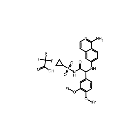 CCOc1cc(C(Nc2ccc3c(N)nccc3c2)C(=O)NS(=O)(=O)C2CC2)ccc1OC(C)C.O=C(O)C(F)(F)F